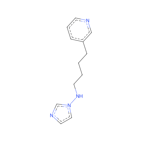 c1cncc(CCCCNn2ccnc2)c1